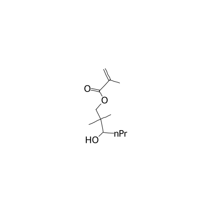 C=C(C)C(=O)OCC(C)(C)C(O)CCC